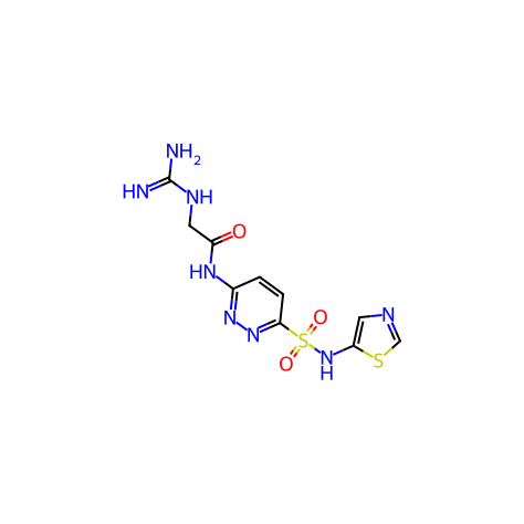 N=C(N)NCC(=O)Nc1ccc(S(=O)(=O)Nc2cncs2)nn1